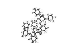 c1ccc(-c2ccc(N(c3cc(-c4ccccc4)cc(-c4ccccc4)c3)c3cccc4oc5c(ccc6c5c5ccccc5n6-c5ccccc5)c34)cc2)cc1